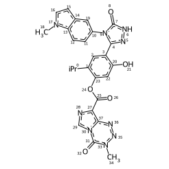 CC(C)c1cc(-c2n[nH]c(=O)n2-c2ccc3c(ccn3C)c2)c(O)cc1OC(=O)c1ncn2c(=O)n(C)nnc12